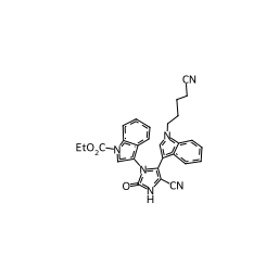 CCOC(=O)n1cc(-n2c(-c3cn(CCCCC#N)c4ccccc34)c(C#N)[nH]c2=O)c2ccccc21